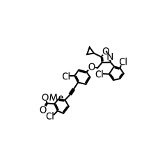 COC(=O)c1cc(C#Cc2ccc(OCc3c(-c4c(Cl)cccc4Cl)noc3C3CC3)cc2Cl)ccc1Cl